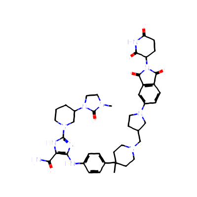 CN1CCN(C2CCCN(c3nc(Nc4ccc(C5(C)CCN(CC6CCN(c7ccc8c(c7)C(=O)N(C7CCC(=O)NC7=O)C8=O)C6)CC5)cc4)c(C(N)=O)[nH]3)C2)C1=O